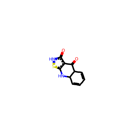 O=C1c2c(s[nH]c2=O)NC2C=CC=CC12